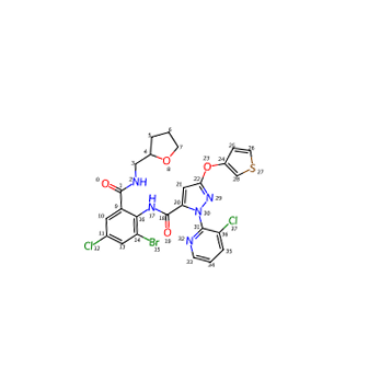 O=C(NCC1CCCO1)c1cc(Cl)cc(Br)c1NC(=O)c1cc(Oc2ccsc2)nn1-c1ncccc1Cl